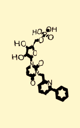 O=c1ccn(C2=C(O)C(O)[C@@H](COP(=O)(O)O)O2)c(=O)n1Cc1cccc(-c2ccccc2)n1